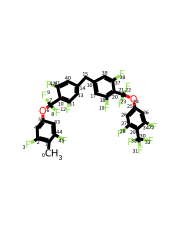 Cc1c(F)cc(OC(F)(F)c2c(F)cc(Cc3cc(F)c(C(F)(F)Oc4cc(F)c(C(F)(F)F)c(F)c4)c(F)c3)cc2F)cc1F